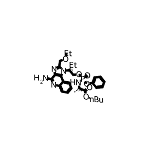 CCCCOC(=O)[C@H](C)NP(=O)(OC[C@@H](CC)n1c(COCC)nc2c(N)nc3ccccc3c21)Oc1ccccc1